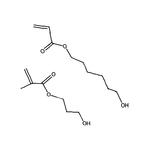 C=C(C)C(=O)OCCCO.C=CC(=O)OCCCCCCO